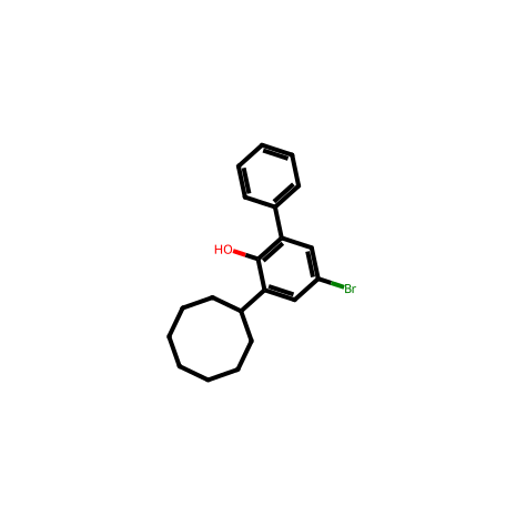 Oc1c(-c2ccccc2)cc(Br)cc1C1CCCCCCC1